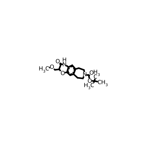 COCC1Oc2cc3c(cc2NC1=O)CCN(C(=O)OC(C)(C)C)CC3